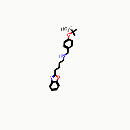 CC(C)(Oc1ccc(CNCCCCc2nc3ccccc3o2)cc1)C(=O)O